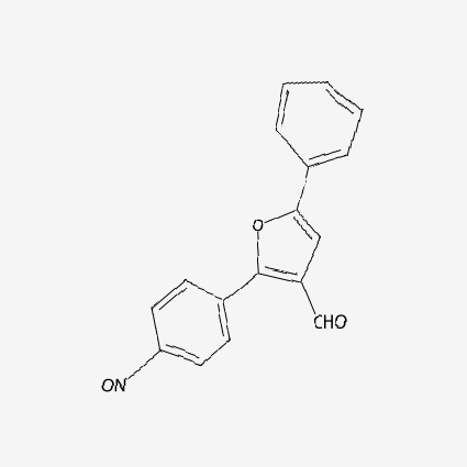 O=Cc1cc(-c2ccccc2)oc1-c1ccc(N=O)cc1